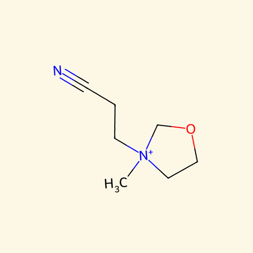 C[N+]1(CCC#N)CCOC1